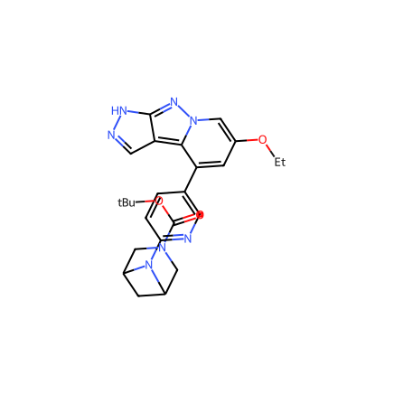 CCOc1cc(-c2ccc(N3C4CC3CN(C(=O)OC(C)(C)C)C4)nc2)c2c3cn[nH]c3nn2c1